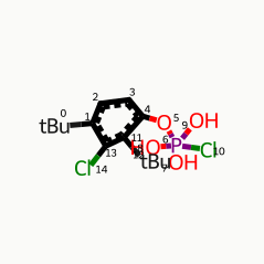 CC(C)(C)c1ccc(OP(O)(O)(O)Cl)c(C(C)(C)C)c1Cl